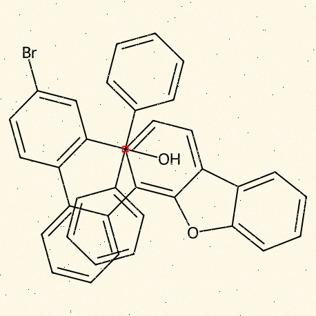 OC(c1ccccc1)(c1ccccc1)c1cc(Br)ccc1-c1ccccc1-c1cccc2c1oc1ccccc12